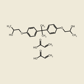 C=CC(=O)O.C=CC(=O)O.CC(O)COc1ccc(C(C)(C)c2ccc(OCC(C)O)cc2)cc1